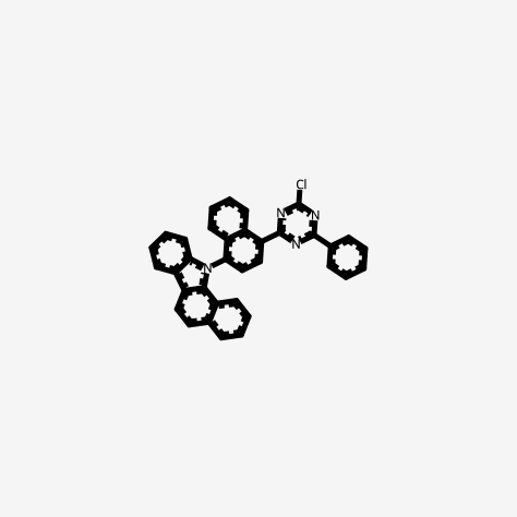 Clc1nc(-c2ccccc2)nc(-c2ccc(-n3c4ccccc4c4ccc5ccccc5c43)c3ccccc23)n1